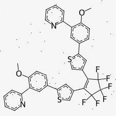 COc1ccc(-c2cc(C3=C(c4csc(-c5ccc(OC)c(-c6ccccn6)c5)c4)C(F)(F)C(F)(F)C3(F)F)cs2)cc1-c1ccccn1